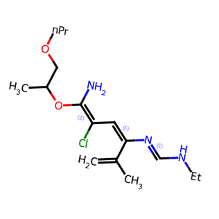 C=C(C)C(=C\C(Cl)=C(/N)OC(C)COCCC)/N=C/NCC